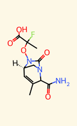 CC1=C[C@@H]2CN(C(=O)N2OC(C)(F)C(=O)O)C1C(N)=O